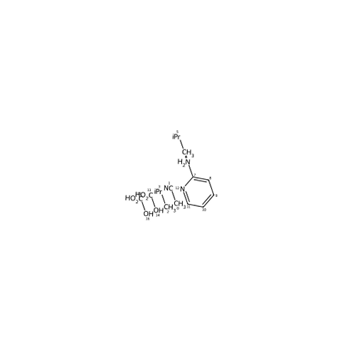 CC#N.CC(C)C.CC(C)C.Nc1ccccn1.O=C(O)O.O=C(O)O